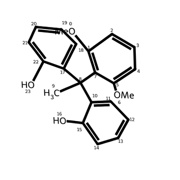 COc1cccc(OC)c1C(C)(c1ccccc1O)c1ccccc1O